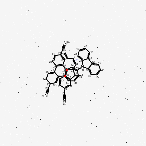 C=C/C=C\C1C(C)c2cc(C#N)ccc2N1c1cc(C#N)ccc1C1=CCC(C#N)C=C1C1=CC=C(n2c3ccccc3c3ccccc32)C=CC1